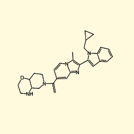 C=C(c1ccn2c(C)c(-c3cc4ccccc4n3CC3CC3)nc2c1)N1CCC2OCCNC2C1